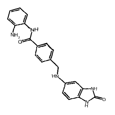 Nc1ccccc1NC(=O)c1ccc(CNc2ccc3[nH]c(=O)[nH]c3c2)cc1